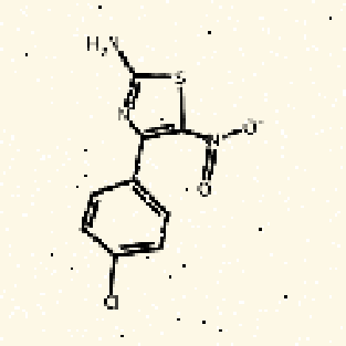 Nc1nc(-c2ccc(Cl)cc2)c([N+](=O)[O-])s1